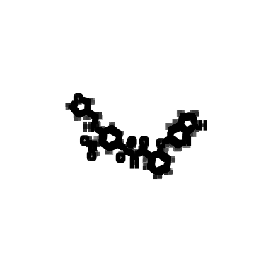 O=C(NS(=O)(=O)c1ccc(NCC2CCOC2)c([N+](=O)[O-])c1)c1ccccc1Oc1cnc2[nH]ccc2c1